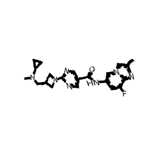 Cc1cn2cc(NC(=O)c3cnc(N4CC(CN(C)C5CC5)C4)nc3)cc(F)c2n1